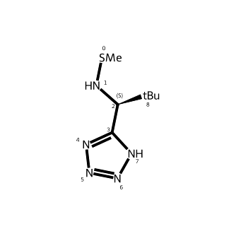 CSN[C@H](c1nnn[nH]1)C(C)(C)C